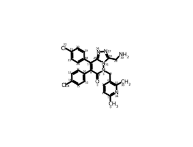 Cc1ccc(Cn2c(=O)c(-c3ccc(Cl)cc3)c(-c3ccc(Cl)cc3)c3nnc(CN)n32)c(C)n1